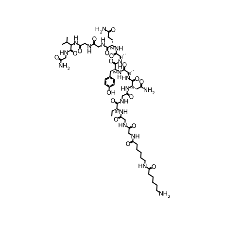 CC[C@H](NC(=O)CNC(=O)CNC(=O)CCCCCNC(=O)CCCCCN)C(=O)NCC(=O)N[C@@H](CC(N)=O)C(=O)N[C@@H](C)C(=O)N[C@@H](Cc1ccc(O)cc1)C(=O)N[C@@H](C)C(=O)N[C@@H](CCC(N)=O)C(=O)NCC(=O)NCC(=O)NC(C(=O)NCC(N)=O)C(C)C